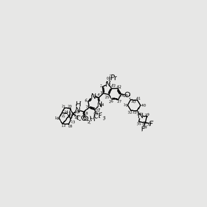 CC(C)n1cc(-c2ncc(C(=O)NC3(C(=O)O)C4CC5CC(C4)CC3C5)c(C(F)(F)F)n2)c2ccc(O[C@H]3CC[C@H](N4CC(F)(F)C4)CC3)cc21